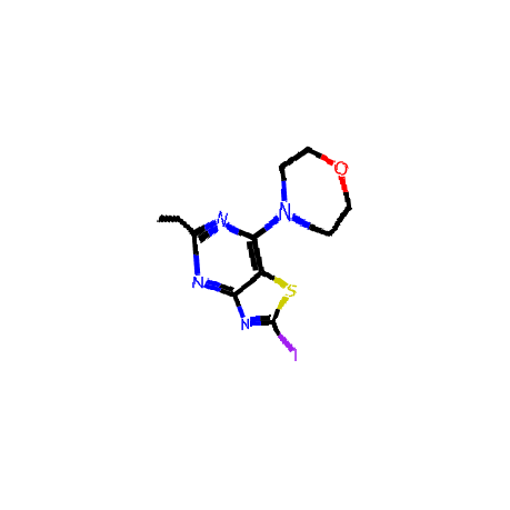 Cc1nc(N2CCOCC2)c2sc(I)nc2n1